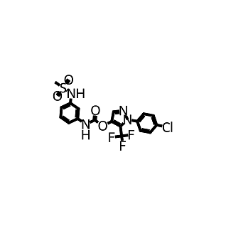 CS(=O)(=O)Nc1cccc(NC(=O)Oc2cnn(-c3ccc(Cl)cc3)c2C(F)(F)F)c1